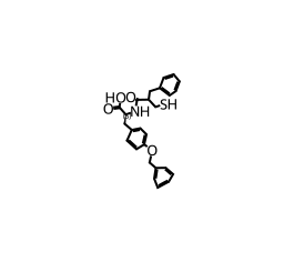 O=C(N[C@@H](Cc1ccc(OCc2ccccc2)cc1)C(=O)O)C(CS)Cc1ccccc1